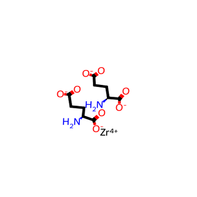 N[C@@H](CCC(=O)[O-])C(=O)[O-].N[C@@H](CCC(=O)[O-])C(=O)[O-].[Zr+4]